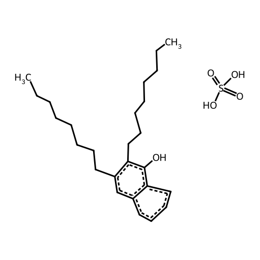 CCCCCCCCc1cc2ccccc2c(O)c1CCCCCCCC.O=S(=O)(O)O